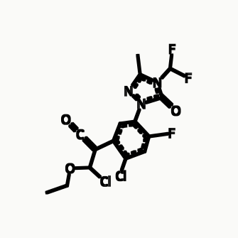 CCOC(Cl)C(=C=O)c1cc(-n2nc(C)n(C(F)F)c2=O)c(F)cc1Cl